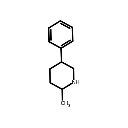 CC1CCC(c2ccccc2)CN1